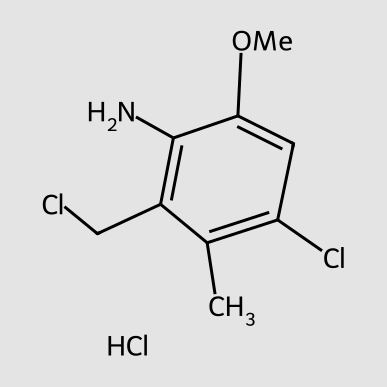 COc1cc(Cl)c(C)c(CCl)c1N.Cl